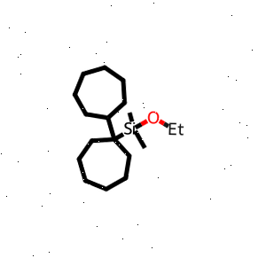 CCO[Si](C)(C)C1(C2CCCCCC2)CCCCCC1